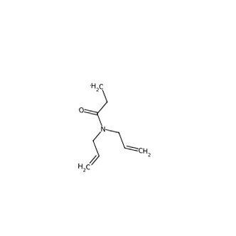 [CH2]CC(=O)N(CC=C)CC=C